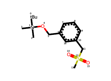 CC(C)(C)[Si](C)(C)OCc1cccc(CS(C)(=O)=O)c1